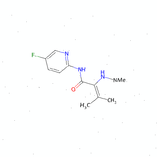 CNNC(C(=O)Nc1ccc(F)cn1)=C(C)C